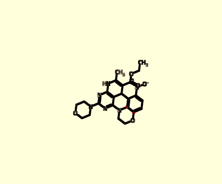 CCOC(=O)C1=C(C)Nc2nc(N3CCOCC3)nc(N3CCOCC3)c2C1c1ccccc1[N+](=O)[O-]